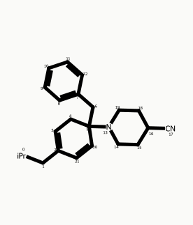 CC(C)CC1=CCC(Cc2ccccc2)(N2CCC(C#N)CC2)C=C1